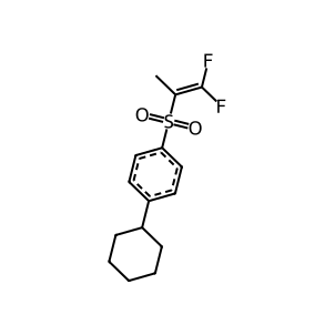 CC(=C(F)F)S(=O)(=O)c1ccc(C2CCCCC2)cc1